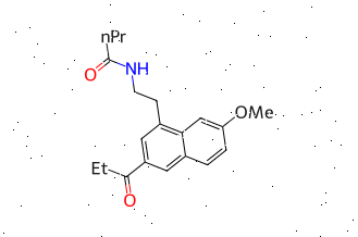 CCCC(=O)NCCc1cc(C(=O)CC)cc2ccc(OC)cc12